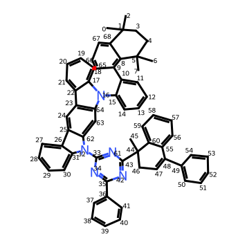 CC1(C)CCC(C)(C)c2c(-c3ccccc3-n3c4ccccc4c4cc5c6ccccc6n(-c6nc(-c7ccccc7)nc(C7(C)CC=C(c8ccccc8)c8ccccc87)n6)c5cc43)cccc21